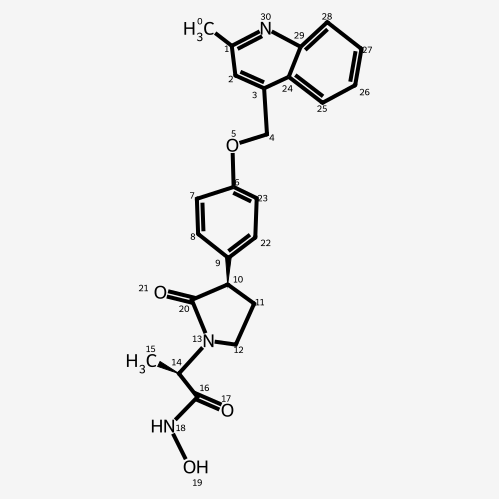 Cc1cc(COc2ccc([C@H]3CCN([C@H](C)C(=O)NO)C3=O)cc2)c2ccccc2n1